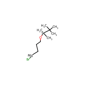 CC(C)(C)[Si](C)(C)OCC[CH2][Mg][Br]